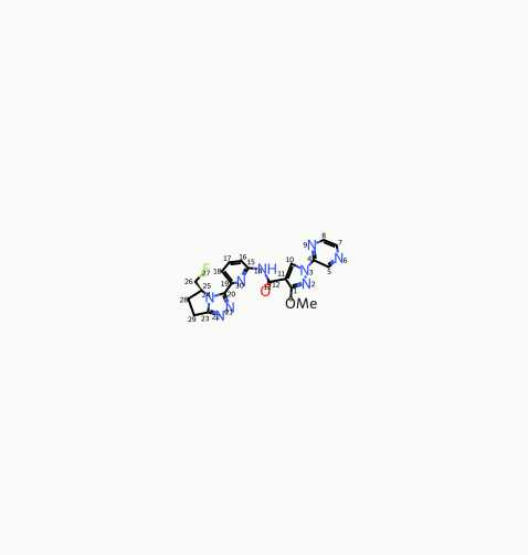 COc1nn(-c2cnccn2)cc1C(=O)Nc1cccc(-c2nnc3n2[C@H](CF)CC3)n1